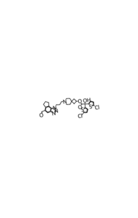 O=Cc1cc2nnn(CCCN3CCC4(CC3)CC(OC(=O)C(O)(c3ccc(Cl)s3)c3ccc(Cl)s3)C4)c2c2c1CCC2